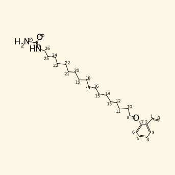 C=Cc1ccccc1OCCCCCCCCCCCCCCCCCCNC(N)=O